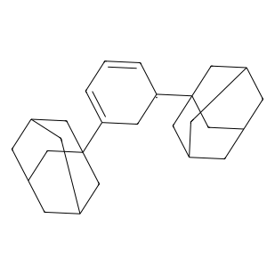 C1=C[C](C23CC4CC(CC(C4)C2)C3)CC(C23CC4CC(CC(C4)C2)C3)=C1